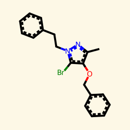 Cc1nn(CCc2ccccc2)c(Br)c1OCc1ccccc1